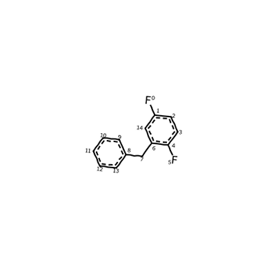 Fc1ccc(F)c(Cc2ccccc2)c1